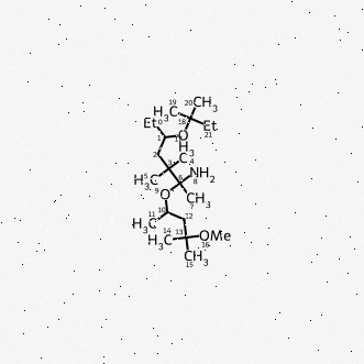 CCC(CC(C)(C)C(C)(N)OC(C)CC(C)(C)OC)OC(C)(C)CC